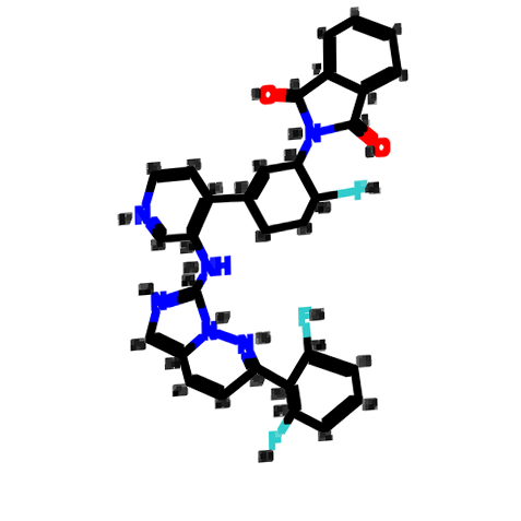 O=C1c2ccccc2C(=O)N1C1C=C(c2ccncc2Nc2ncc3ccc(-c4c(F)cccc4F)nn23)CCC1F